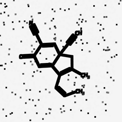 C#CC12C=C(C#N)C(=O)C=C1C(/C=C\C)=C(C)C2